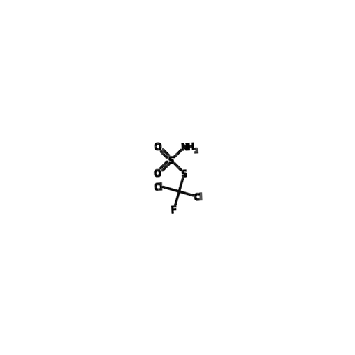 NS(=O)(=O)SC(F)(Cl)Cl